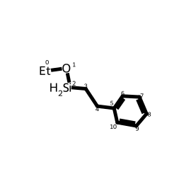 CCO[SiH2]CCc1ccccc1